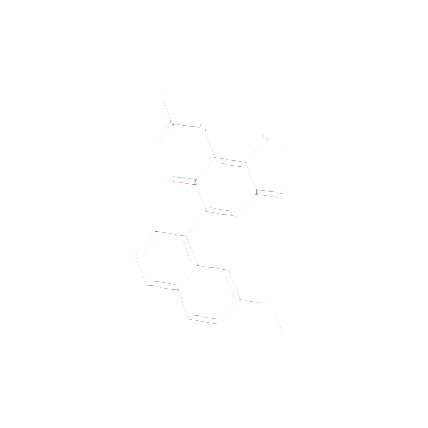 COc1ccc2cccc(C3=CC(=O)C(N)=C(NC(C)=O)C3=O)c2c1